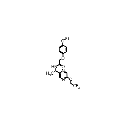 CCOc1ccc(OCC(=O)N[C@H](C)c2cnc(OCC(F)(F)F)cn2)cc1